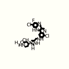 CC1(C)C[C@H](N2C=C(CNc3cc(Cl)c4ncc(C#N)c(Nc5ccc(F)c(Cl)c5)c4c3)NN2)CCN1